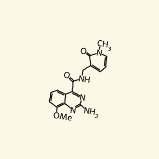 COc1cccc2c(C(=O)NCc3cccn(C)c3=O)nc(N)nc12